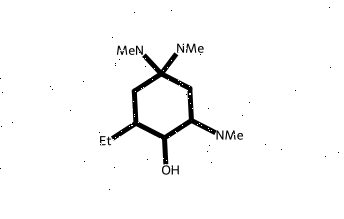 CCC1CC(NC)(NC)CC(NC)C1O